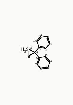 c1ccc(C2(c3ccccc3)C[SiH2]2)cc1